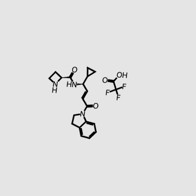 O=C(N[C@H](C=CC(=O)N1CCc2ccccc21)C1CC1)[C@@H]1CCN1.O=C(O)C(F)(F)F